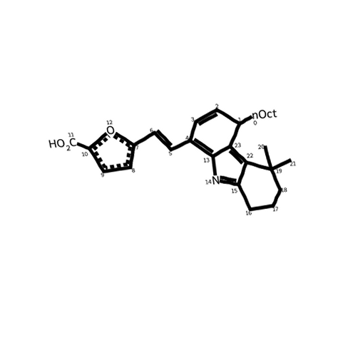 CCCCCCCCC1C=CC(C=Cc2ccc(C(=O)O)o2)=C2N=C3CCCC(C)(C)C3=C21